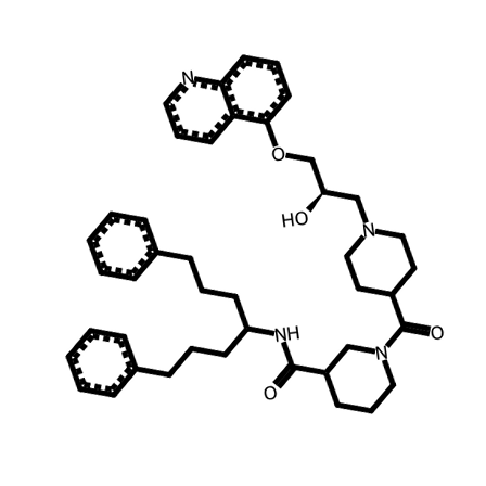 O=C(NC(CCCc1ccccc1)CCCc1ccccc1)C1CCCN(C(=O)C2CCN(C[C@@H](O)COc3cccc4ncccc34)CC2)C1